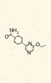 CCOc1cncc(-c2ccc(C(N)=O)cc2)n1